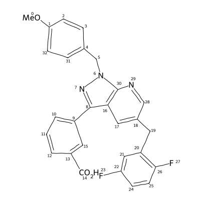 COc1ccc(Cn2nc(-c3cccc(C(=O)O)c3)c3cc(Cc4cc(F)ccc4F)cnc32)cc1